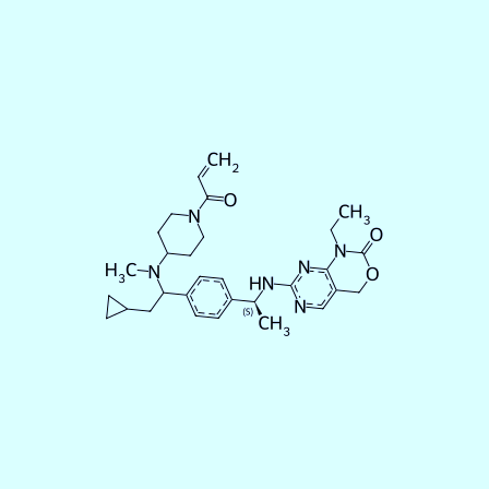 C=CC(=O)N1CCC(N(C)C(CC2CC2)c2ccc([C@H](C)Nc3ncc4c(n3)N(CC)C(=O)OC4)cc2)CC1